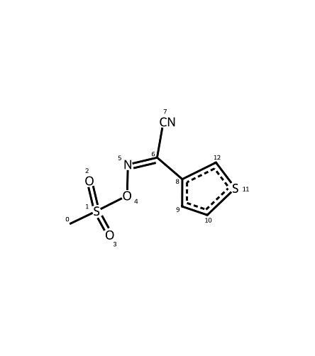 CS(=O)(=O)O/N=C(/C#N)c1ccsc1